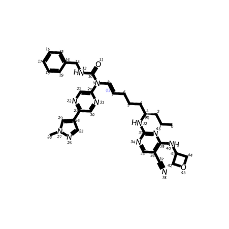 CCC[C@H](CCC/C=C/N(C(=O)NCc1ccccc1)c1cnc(-c2cnn(C)c2)cn1)Nc1ncc(C#N)c(NC2COC2)n1